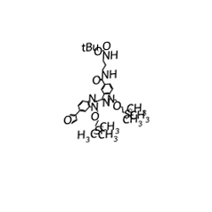 CC(C)(C)OC(=O)NCCCNC(=O)c1ccc2c(c1)c(-c1nc3ccc(-c4ccoc4)cc3n1COCC[Si](C)(C)C)nn2COCC[Si](C)(C)C